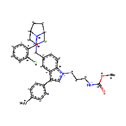 COc1ccc(-c2cn(CCCNC(=O)OC(C)(C)C)c3ccc(CN4CC5CCC(C4)N5Cc4ccccc4Cl)cc23)cc1